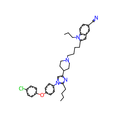 CCCCc1nc(C2CCN(CCCCc3cc4cc(C#N)ccc4n3CCC)CC2)cn1-c1ccc(Oc2ccc(Cl)cc2)cc1